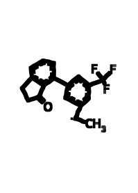 C[CH]c1cc(-c2cccc3c2C(=O)CC3)cc(C(F)(F)F)c1